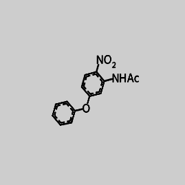 CC(=O)Nc1cc(Oc2ccccc2)ccc1[N+](=O)[O-]